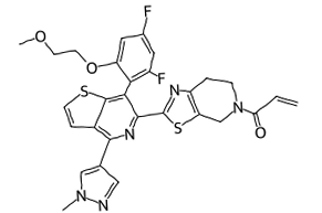 C=CC(=O)N1CCc2nc(-c3nc(-c4cnn(C)c4)c4ccsc4c3-c3c(F)cc(F)cc3OCCOC)sc2C1